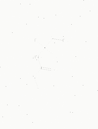 CC[N]C(=O)NC(F)(F)CF